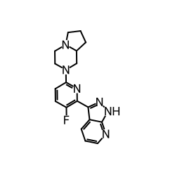 Fc1ccc(N2CCN3CCCC3C2)nc1-c1n[nH]c2ncccc12